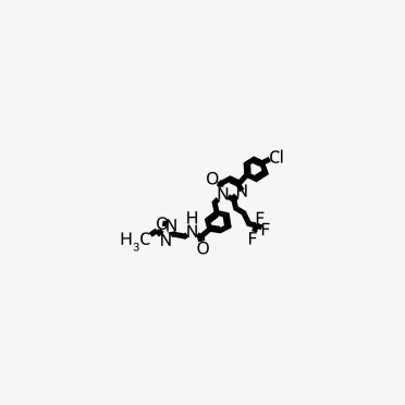 Cc1nc(CNC(=O)c2cccc(Cn3c(CCCC(F)(F)F)nc(-c4ccc(Cl)cc4)cc3=O)c2)no1